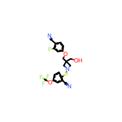 N#Cc1ccc(OCC2(CO)CN(Sc3ccc(OC(F)(F)F)cc3C#N)C2)cc1F